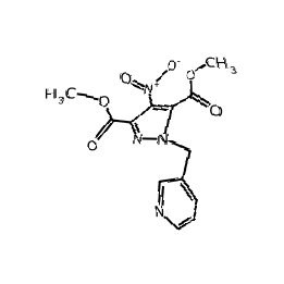 COC(=O)c1nn(Cc2cccnc2)c(C(=O)OC)c1[N+](=O)[O-]